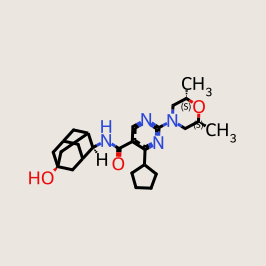 C[C@H]1CN(c2ncc(C(=O)N[C@H]3C4CC5CC3C[C@@](O)(C5)C4)c(C3CCCC3)n2)C[C@H](C)O1